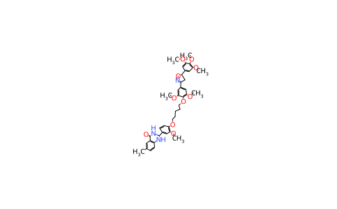 COc1cc(C2NC(=O)c3cc(C)ccc3N2)ccc1OCCCCCOc1c(OC)cc(C2=NOC(c3cc(OC)c(OC)c(OC)c3)C2)cc1OC